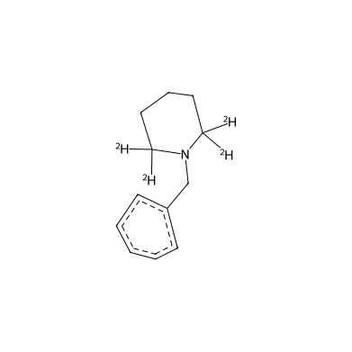 [2H]C1([2H])CCCC([2H])([2H])N1Cc1ccccc1